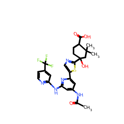 CC(=O)Nc1cc(Nc2cc(C(F)(F)F)ccn2)nc(-c2cnc(C3(O)CCC(C(=O)O)C(C)(C)C3)s2)c1